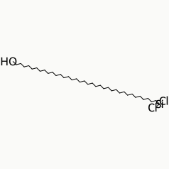 C[Si](Cl)(Cl)CCCCCCCCCCCCCCCCCCCCCCCCCCCCCCCCCCCCO